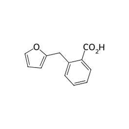 O=C(O)c1ccccc1Cc1ccco1